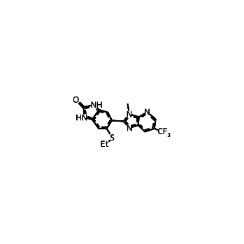 CCSc1cc2[nH]c(=O)[nH]c2cc1-c1nc2cc(C(F)(F)F)cnc2n1C